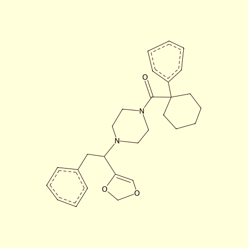 O=C(N1CCN(C(Cc2ccccc2)C2=COCO2)CC1)C1(c2ccccc2)CCCCC1